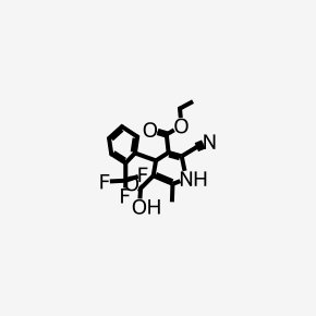 CCOC(=O)C1=C(C#N)NC(C)=C(C(=O)O)C1c1ccccc1C(F)(F)F